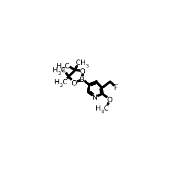 COc1ncc(B2OC(C)(C)C(C)(C)O2)cc1CF